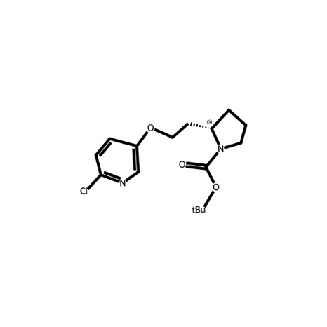 CC(C)(C)OC(=O)N1CCC[C@H]1CCOc1ccc(Cl)nc1